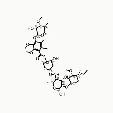 CCN[C@H]1CO[C@@H](O[C@@H]2[C@@H](O)[C@H](NO[C@H]3C[C@H](O)[C@H](SC(=O)c4c(C)c(I)c(O[C@@H]5O[C@@H](C)[C@H](C)[C@@H](OC)[C@H]5O)c(OC)c4OC)[C@@H](C)O3)[C@@H](C)O[C@H]2O)C[C@@H]1OC